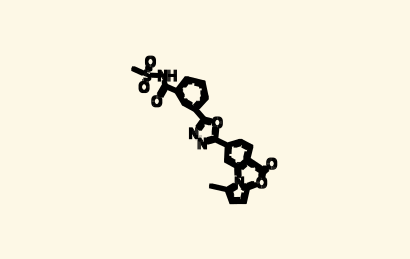 Cc1ccc2oc(=O)c3ccc(-c4nnc(-c5cccc(C(=O)NS(C)(=O)=O)c5)o4)cc3n12